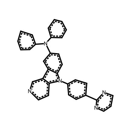 c1ccc(N(c2ccccc2)c2ccc3c(c2)c2cnccc2n3-c2ccc(-c3ncccn3)cc2)cc1